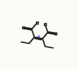 CC/C(C(=O)Cl)=C(\CC)C(=O)Cl